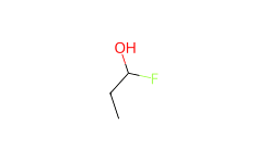 CCC(O)F